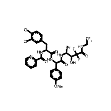 COc1ccc(C(NC(=O)C(Cc2ccc(Cl)c(Cl)c2)NC(=O)c2ccccn2)C(=O)NC(C(C)C)C(O)C(F)(F)C(=O)NCC(F)(F)F)cc1